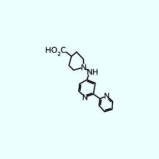 O=C(O)C1CCN(Nc2ccnc(-c3ccccn3)c2)CC1